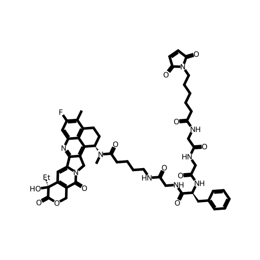 CC[C@@]1(O)C(=O)OCc2c1cc1n(c2=O)Cc2c-1nc1cc(F)c(C)c3c1c2[C@@H](N(C)C(=O)CCCCNC(=O)CNC(=O)[C@H](Cc1ccccc1)NC(=O)CNC(=O)CNC(=O)CCCCCN1C(=O)C=CC1=O)CC3